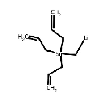 [Li][CH2][Sn]([CH2]C=C)([CH2]C=C)[CH2]C=C